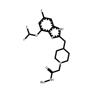 CC(C)(C)NC(=O)CN1CCC(Cc2nc3c(OC(F)F)cc(F)cc3[nH]2)CC1